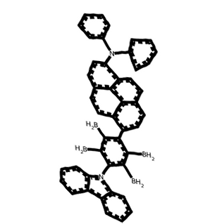 Bc1c(B)c(-n2c3ccccc3c3ccccc32)c(B)c(B)c1-c1ccc2ccc3c(N(c4ccccc4)c4ccccc4)ccc4ccc1c2c43